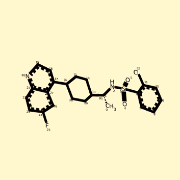 C[C@@H](NS(=O)(=O)c1ccccc1Cl)C1CCC(c2ccnc3ccc(F)cc23)CC1